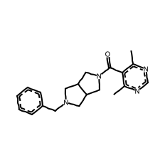 Cc1ncnc(C)c1C(=O)N1CC2CN(Cc3ccccc3)CC2C1